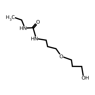 CCNC(=O)NCCCOCCCO